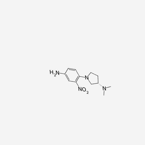 CN(C)[C@H]1CCN(c2ccc(N)cc2[N+](=O)[O-])C1